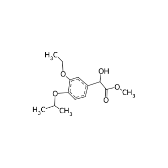 CCOc1cc(C(O)C(=O)OC)ccc1OC(C)C